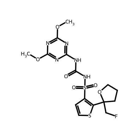 COc1nc(NC(=O)NS(=O)(=O)c2ccsc2C2(CF)CCCO2)nc(OC)n1